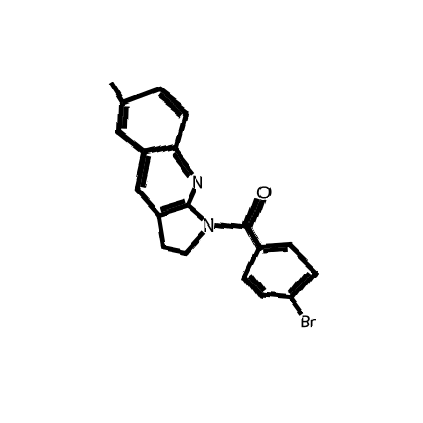 Cc1ccc2nc3c(cc2c1)CCN3C(=O)c1ccc(Br)cc1